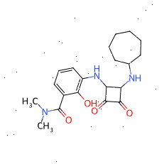 CN(C)C(=O)c1cccc(NC2C(=O)C(=O)C2NC2CCCCCC2)c1O